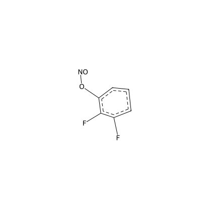 O=NOc1cccc(F)c1F